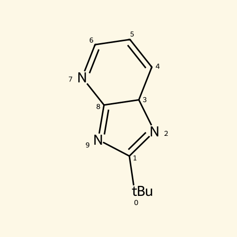 CC(C)(C)C1=NC2C=CC=NC2=N1